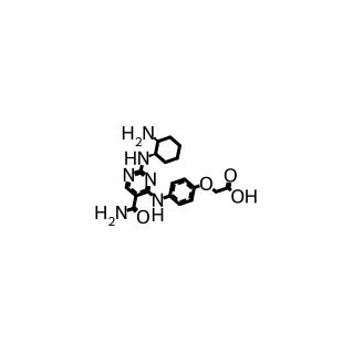 NC(=O)c1cnc(N[C@@H]2CCCC[C@@H]2N)nc1Nc1ccc(OCC(=O)O)cc1